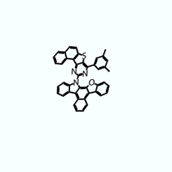 Cc1cc(C)cc(-c2nc(-n3c4ccccc4c4c5ccccc5c5c6ccccc6oc5c43)nc3c2sc2ccc4ccccc4c23)c1